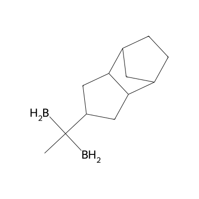 BC(B)(C)C1CC2C3CCC(C3)C2C1